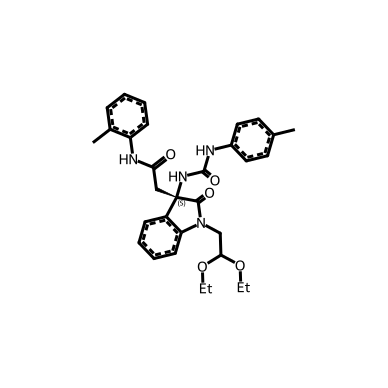 CCOC(CN1C(=O)[C@@](CC(=O)Nc2ccccc2C)(NC(=O)Nc2ccc(C)cc2)c2ccccc21)OCC